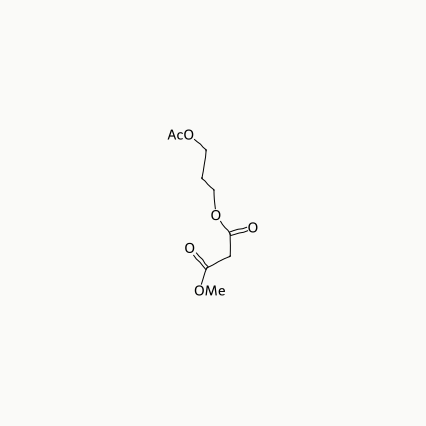 COC(=O)CC(=O)OCCCOC(C)=O